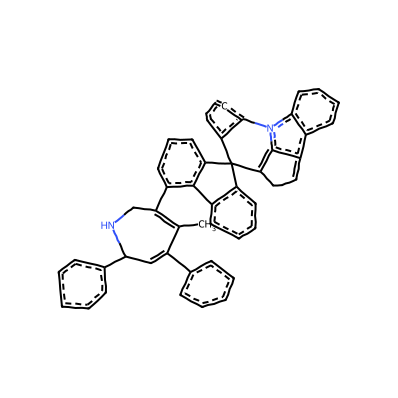 CC1=C(c2cccc3c2-c2ccccc2C32C3=c4c(c5ccccc5n4-c4ccccc42)=CCC3)CNC(c2ccccc2)C=C1c1ccccc1